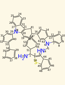 NC(C1=C(NCn2c3ccccc3c3ccc(C4C=Cc5c(c6ccccc6n5-c5cccc(-c6ccccc6)c5)C4)cc32)C2C=CC=CC2S1)C1C=CC=CC1